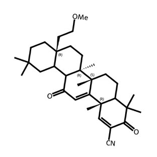 COCC[C@]12CCC(C)(C)CC1C1C(=O)C=C3[C@@]4(C)C=C(C#N)C(=O)C(C)(C)C4CC[C@@]3(C)[C@]1(C)CC2